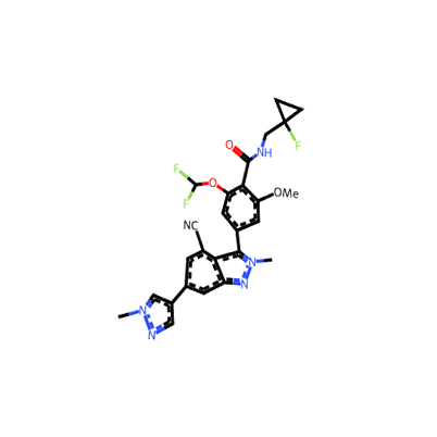 COc1cc(-c2c3c(C#N)cc(-c4cnn(C)c4)cc3nn2C)cc(OC(F)F)c1C(=O)NCC1(F)CC1